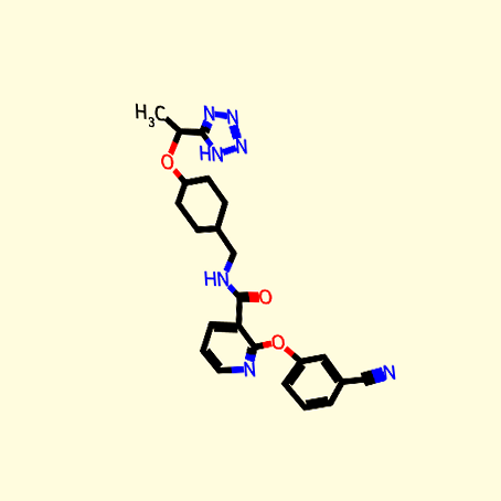 CC(OC1CCC(CNC(=O)c2cccnc2Oc2cccc(C#N)c2)CC1)c1nnn[nH]1